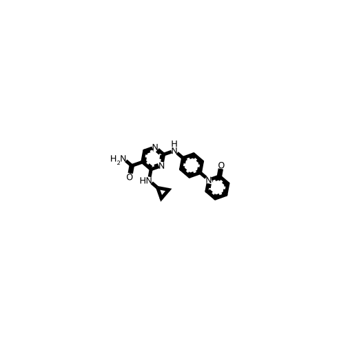 NC(=O)c1cnc(Nc2ccc(-n3ccccc3=O)cc2)nc1NC1CC1